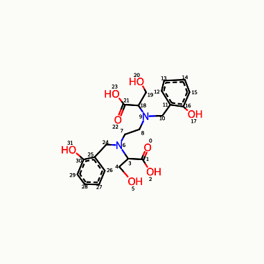 O=C(O)C(CO)N(CCN(Cc1ccccc1O)C(CO)C(=O)O)Cc1ccccc1O